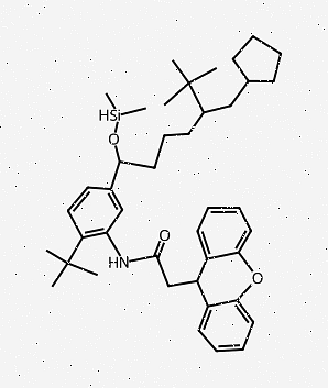 C[SiH](C)OC(CCCC(CC1CCCC1)C(C)(C)C)c1ccc(C(C)(C)C)c(NC(=O)CC2c3ccccc3Oc3ccccc32)c1